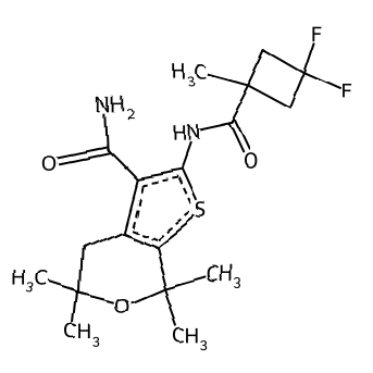 CC1(C)Cc2c(sc(NC(=O)C3(C)CC(F)(F)C3)c2C(N)=O)C(C)(C)O1